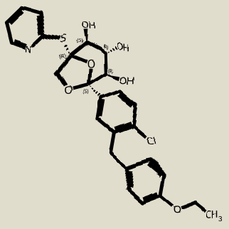 CCOc1ccc(Cc2cc([C@]34OC[C@](Sc5ccccn5)(O3)[C@@H](O)[C@H](O)[C@H]4O)ccc2Cl)cc1